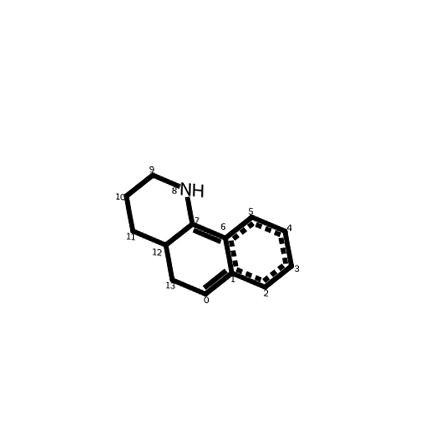 C1=c2ccccc2=C2NCCCC2C1